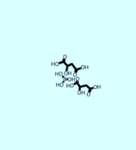 O=C(O)CC(O)C(=O)O.O=C(O)CC(O)C(=O)O.OB(O)O